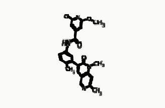 COc1cc(C(=O)Nc2ccc(C)c(-c3cc4cnc(C)cc4n(C)c3=O)c2)cc(Cl)n1